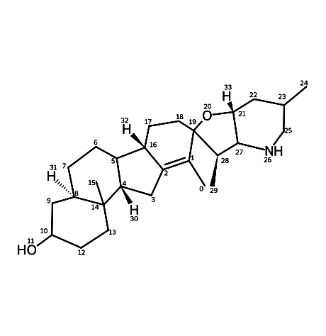 CC1=C2C[C@H]3C(CC[C@@H]4CC(O)CCC43C)[C@@H]2CCC12O[C@@H]1CC(C)CNC1[C@H]2C